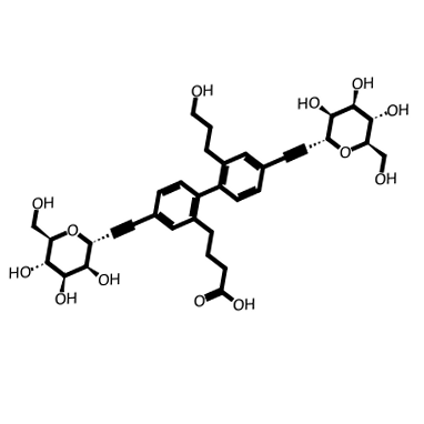 O=C(O)CCCc1cc(C#C[C@H]2O[C@H](CO)[C@@H](O)[C@H](O)[C@@H]2O)ccc1-c1ccc(C#C[C@H]2O[C@H](CO)[C@@H](O)[C@H](O)[C@@H]2O)cc1CCCO